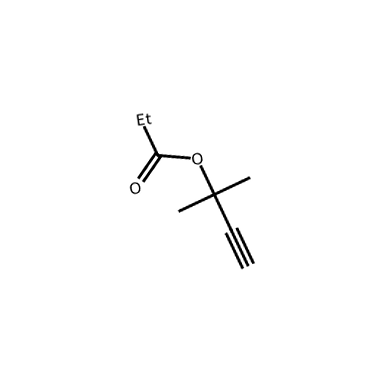 C#CC(C)(C)OC(=O)C[CH2]